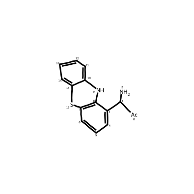 CC(=O)C(N)c1cccc2c1Nc1ccccc1S2